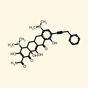 CN(C)c1cc(C#CCc2ccccc2)c(O)c2c1CC1CC3C(N(C)C)C(O)=C(C(N)=O)C(=O)C3(O)C(O)=C1C2=O